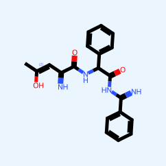 C/C(O)=C/C(=N)C(=O)NC(C(=O)NC(=N)c1ccccc1)c1ccccc1